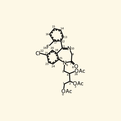 CC(=O)OCC(OC(C)=O)C(CN1C(=O)CN=C(c2ccccc2F)c2cc(Cl)ccc21)OC(C)=O